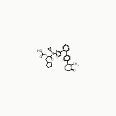 CN1C(=O)CCCC1c1ccc(-c2ccccc2-c2csc(N(C(=O)[C@@H](CC(=O)O)CC3CCCC3)C3CC3)n2)cn1